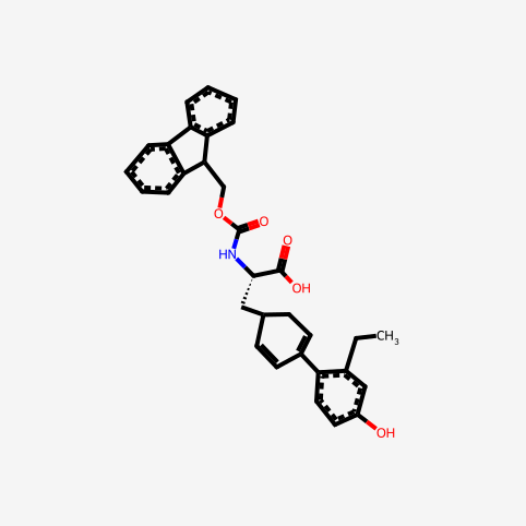 CCc1cc(O)ccc1C1=CCC(C[C@H](NC(=O)OCC2c3ccccc3-c3ccccc32)C(=O)O)C=C1